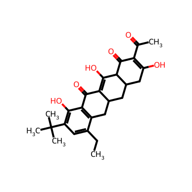 CCc1cc(C(C)(C)C)c(O)c2c1CC1CC3CC(O)=C(C(C)=O)C(=O)C3C(O)=C1C2=O